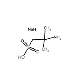 CC(C)(N)CS(=O)(=O)O.[NaH]